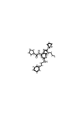 CCCn1c(-n2cccn2)nc2c(NC(=O)C3CCCC3)nc(NCCc3ccccc3)nc21